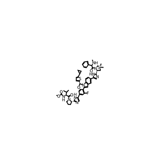 CNC(C(=O)N1C[Si](C)(C)C[C@H]1c1ncc(-c2ccc3c(c2)cc2n3[C@H](c3ccc(C4CC4)s3)Oc3cc(-c4cnc([C@@H]5CCCN5C(=O)[C@@H](NC(=O)OC)C(C)C)[nH]4)cc(F)c3-2)[nH]1)c1ccccc1